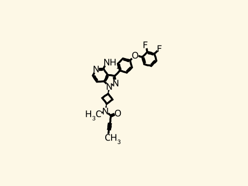 CC#CC(=O)N(C)[C@H]1C[C@@H](n2nc(-c3ccc(Oc4cccc(F)c4F)cc3)c3c(N)nccc32)C1